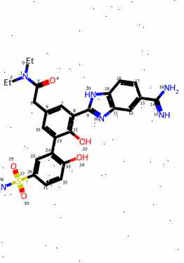 CCN(CC)C(=O)Cc1cc(-c2nc3cc(C(=N)N)ccc3[nH]2)c(O)c(-c2cc(S(N)(=O)=O)ccc2O)c1